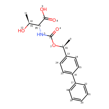 C[C@H](OC(=O)N[C@@H](C(=O)O)[C@H](C)O)c1ccc(-c2ccccc2)cc1